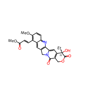 CC[C@@]1(O)C(=O)OCc2c1cc1n(c2=O)Cc2cc3c(C=CC(=O)OC)c(OC)ccc3nc2-1